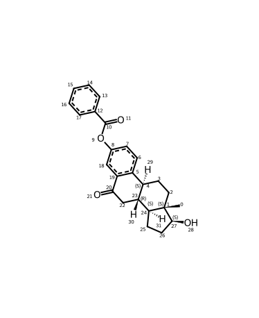 C[C@]12CC[C@@H]3c4ccc(OC(=O)c5ccccc5)cc4C(=O)C[C@H]3[C@@H]1CC[C@@H]2O